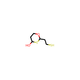 OC1CCOC(CCS)S1